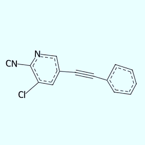 [C-]#[N+]c1ncc(C#Cc2ccccc2)cc1Cl